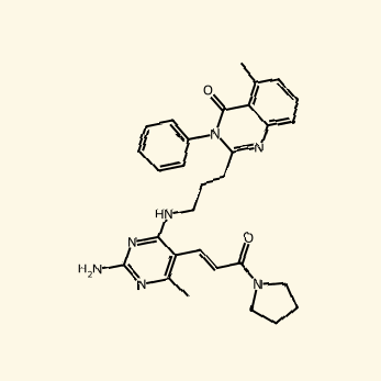 Cc1nc(N)nc(NCCCc2nc3cccc(C)c3c(=O)n2-c2ccccc2)c1/C=C/C(=O)N1CCCC1